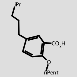 CCCCCOc1ccc(CCCC(C)C)cc1C(=O)O